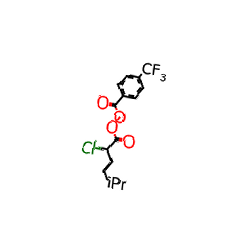 CC(C)CCC(Cl)C(=O)OOC(=O)c1ccc(C(F)(F)F)cc1